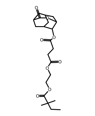 CCC(C)(C)C(=O)OCCOC(=O)CCC(=O)OC1C2CC3CC(C2)C(=O)OC1C3